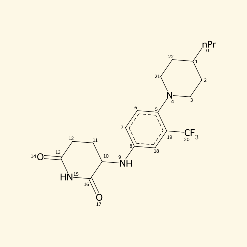 CCCC1CCN(c2ccc(NC3CCC(=O)NC3=O)cc2C(F)(F)F)CC1